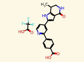 CC1CNC(=O)c2cc(-c3ccnc(-c4ccc(C(=O)O)cc4)c3)[nH]c21.O=C(O)C(F)(F)F